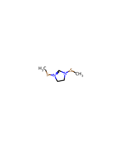 CSN1C=[N+](SC)CC1